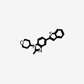 Cc1nc2cc(-c3cc4ccccc4s3)ccc2n1C1CCOCC1